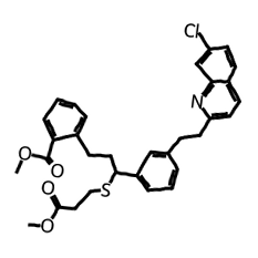 COC(=O)CCSC(CCc1ccccc1C(=O)OC)c1cccc(CCc2ccc3ccc(Cl)cc3n2)c1